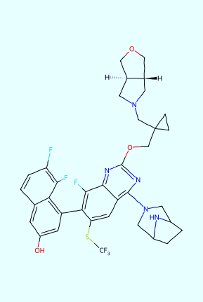 Oc1cc(-c2c(SC(F)(F)F)cc3c(N4CC5CCC(C4)N5)nc(OCC4(CN5C[C@H]6COC[C@@H]6C5)CC4)nc3c2F)c2c(F)c(F)ccc2c1